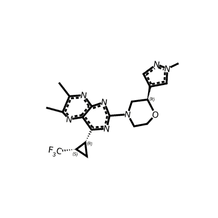 Cc1nc2nc(N3CCO[C@H](c4cnn(C)c4)C3)nc([C@@H]3C[C@@H]3C(F)(F)F)c2nc1C